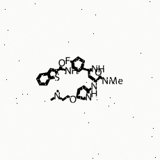 CNC(=O)/C(=C\C(=N)c1ccc(F)c(NC(=O)c2cc3ccccc3s2)c1)Nc1ccc(OCCN(C)C)cn1